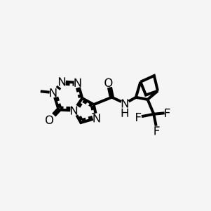 Cn1nnc2c(C(=O)NC3C4CC(C4)C3C(F)(F)F)ncn2c1=O